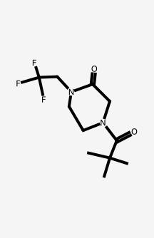 CC(C)(C)C(=O)N1CCN(CC(F)(F)F)C(=O)C1